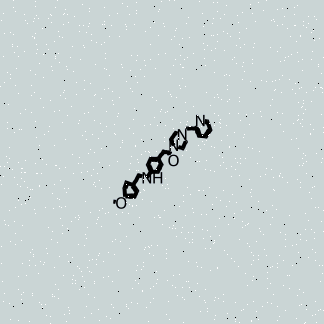 COc1ccc(CNc2ccc(CC(=O)N3CCN(Cc4ccccn4)CC3)cc2)cc1